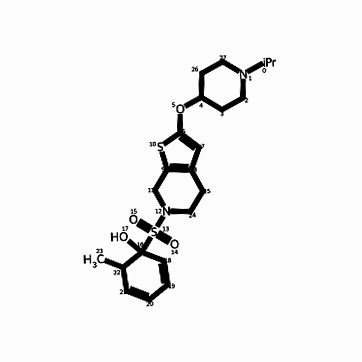 CC(C)N1CCC(Oc2cc3c(s2)CN(S(=O)(=O)C2(O)C=CC=CC2C)CC3)CC1